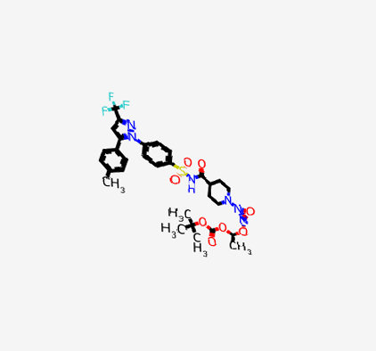 Cc1ccc(-c2cc(C(F)(F)F)nn2-c2ccc(S(=O)(=O)NC(=O)C3CCN(n4on4OC(C)OC(=O)OC(C)(C)C)CC3)cc2)cc1